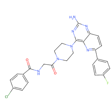 Nc1nc(N2CCN(C(=O)CNC(=O)c3ccc(Cl)cc3)CC2)c2nc(-c3ccc(F)cc3)ccc2n1